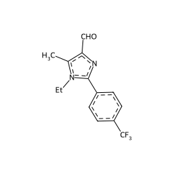 CCn1c(-c2ccc(C(F)(F)F)cc2)nc(C=O)c1C